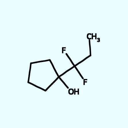 CCC(F)(F)C1(O)CCCC1